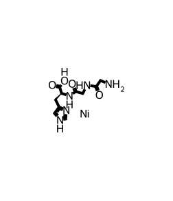 NCC(=O)NCC(=O)N[C@@H](Cc1c[nH]cn1)C(=O)O.[Ni]